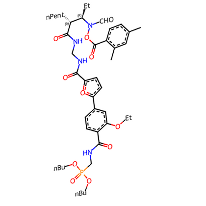 CCCCC[C@@H](C(=O)NCNC(=O)c1ccc(-c2ccc(C(=O)NCP(=O)(OCCCC)OCCCC)c(OCC)c2)o1)[C@@H](CC)N(C=O)OC(=O)c1ccc(C)cc1C